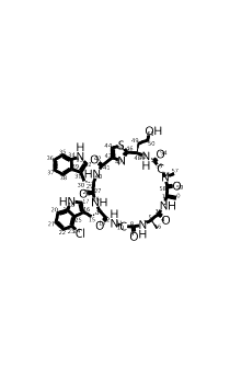 C=C1NC(=O)[C@@H](C)NC(=O)CNC(=O)[C@H](Cc2c[nH]c3cccc(Cl)c23)NC(=O)[C@H](Cc2c[nH]c3ccccc23)NC(=O)c2csc(n2)[C@@H](CCO)NC(=O)CN(C)C1=O